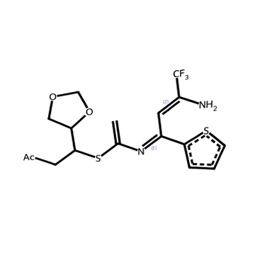 C=C(/N=C(\C=C(/N)C(F)(F)F)c1cccs1)SC(CC(C)=O)C1COCO1